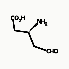 N[C@H](CC=O)CC(=O)O